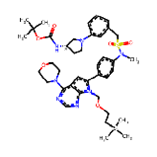 CN(c1ccc(-c2cc3c(N4CCOCC4)ncnc3n2COCC[Si](C)(C)C)cc1)S(=O)(=O)Cc1cccc(N2CC[C@H](NC(=O)OC(C)(C)C)C2)c1